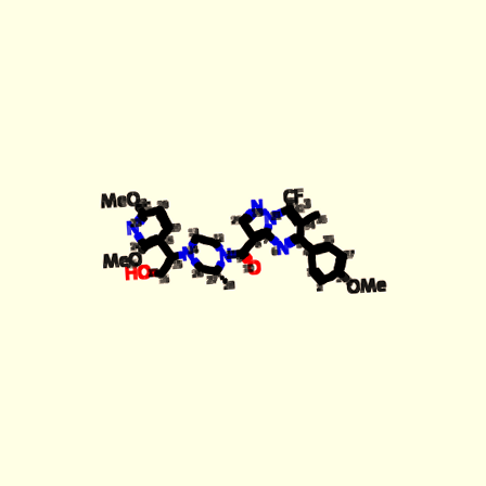 COc1ccc(-c2nc3c(C(=O)N4CCN(C(CO)c5ccc(OC)nc5OC)C[C@H]4C)cnn3c(C(F)(F)F)c2C)cc1